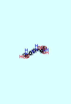 CCC(NC(=O)c1ccc(N2CCC(NC[C@@H](O)c3ccc(O)c(NS(C)(=O)=O)c3)CC2)cc1)C(=O)O